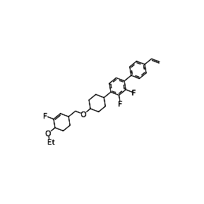 C=Cc1ccc(-c2ccc(C3CCC(OCC4C=C(F)C(OCC)CC4)CC3)c(F)c2F)cc1